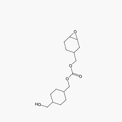 O=C(OCC1CCC(CO)CC1)OCC1CCC2OC2C1